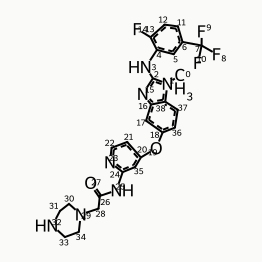 Cn1c(Nc2cc(C(F)(F)F)ccc2F)nc2cc(Oc3ccnc(NC(=O)CN4CCNCC4)c3)ccc21